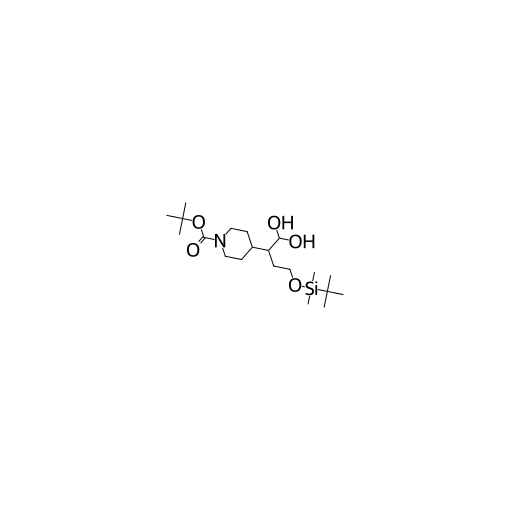 CC(C)(C)OC(=O)N1CCC(C(CCO[Si](C)(C)C(C)(C)C)C(O)O)CC1